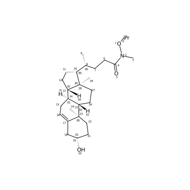 CC(C)ON(C)C(=O)CC[C@@H](C)[C@H]1CC[C@H]2[C@@H]3CC=C4C[C@@H](O)CC[C@]4(C)[C@H]3CC[C@]12C